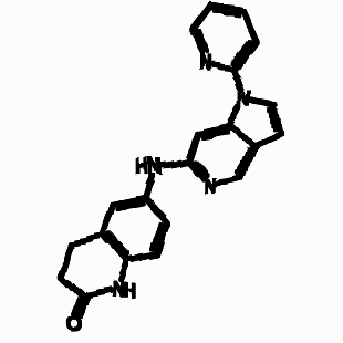 O=C1CCc2cc(Nc3cc4c(ccn4-c4ccccn4)cn3)ccc2N1